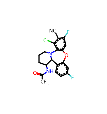 N#Cc1c(F)cc2c(c1Cl)N1CCCC(NC(=O)C(F)(F)F)C1c1ccc(F)cc1O2